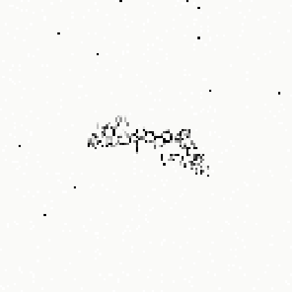 CCCCN(Cc1nc2ccc3cc4c(cc3c2[nH]1)OCc1cc(-c2cnc(CN(CCC)C(=O)[C@@H](NC(=O)OC)[C@@H](C)CC)[nH]2)ccc1-4)C(=O)[C@@H](NC(=O)OC)[C@@H](C)CC